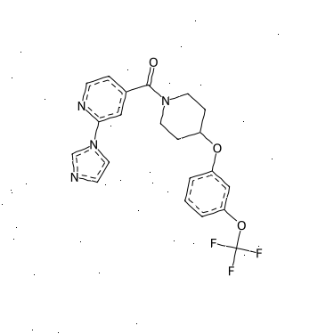 O=C(c1ccnc(-n2ccnc2)c1)N1CCC(Oc2cccc(OC(F)(F)F)c2)CC1